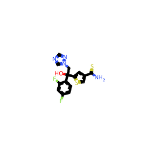 NC(=S)c1csc(C(O)(Cn2cncn2)c2ccc(F)cc2F)c1